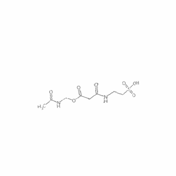 CC(=O)NCOC(=O)CC(=O)NCCS(=O)(=O)O